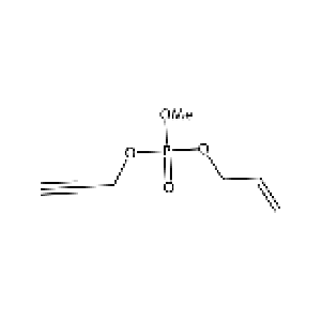 C#CCOP(=O)(OC)OCC=C